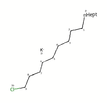 CCCCCCCCCCCCCCCCCl.[K]